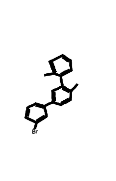 Cc1ccccc1-c1cc(-c2cccc(Br)c2)ccc1C